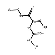 CC(C)CNC(=O)[C@@H](CO)NC(=O)OC(C)(C)C